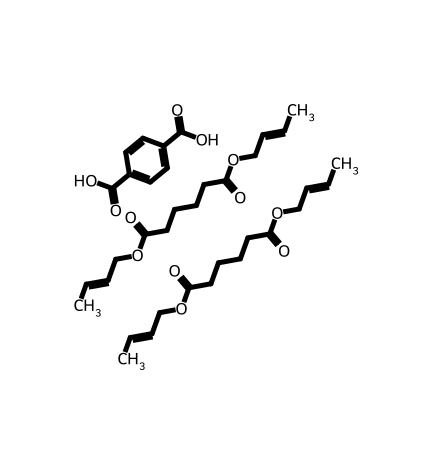 CC=CCOC(=O)CCCCC(=O)OCC=CC.CC=CCOC(=O)CCCCC(=O)OCC=CC.O=C(O)c1ccc(C(=O)O)cc1